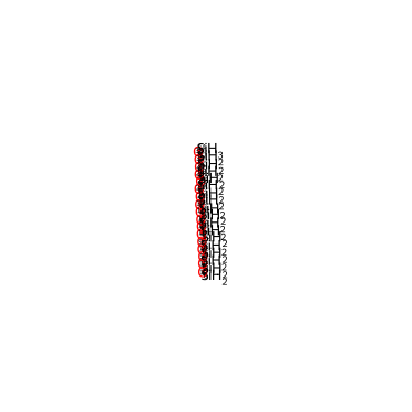 [SiH2]O[SiH2]O[SiH2]O[SiH2]O[SiH2]O[SiH2]O[SiH2]O[SiH2]O[SiH2]O[SiH2]O[SiH2]O[SiH2]O[SiH2]O[SiH2]O[SiH2]O[SiH2]O[SiH2]O[SiH3]